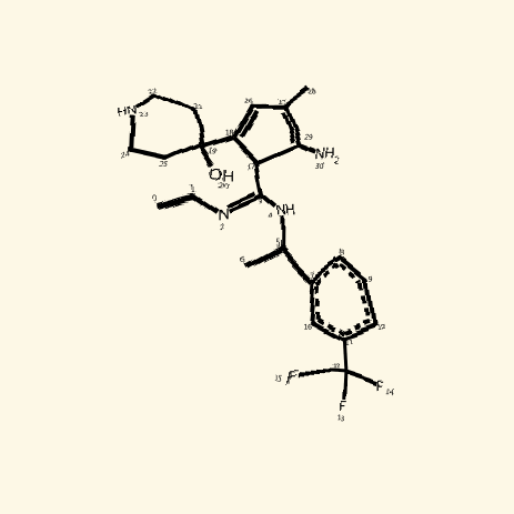 CC/N=C(/NC(C)c1cccc(C(F)(F)F)c1)C1C(C2(O)CCNCC2)=CC(C)=C1N